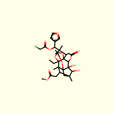 CCC12OC3(C)OC14C(C(C)(C)C(OC(=O)CCl)c1ccoc1)CC(=O)OC4C1(O)C(O)C4(C)CC1(O3)C2(C)C4CC(=O)OC